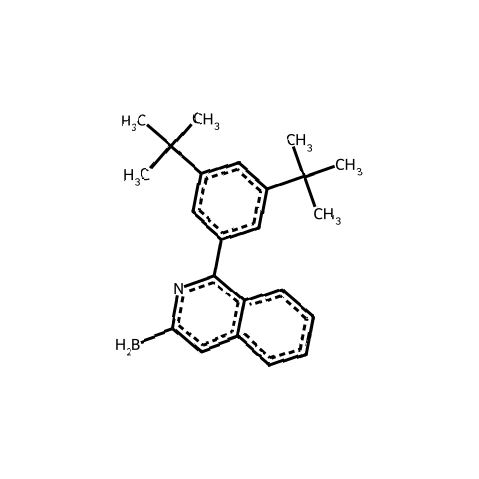 Bc1cc2ccccc2c(-c2cc(C(C)(C)C)cc(C(C)(C)C)c2)n1